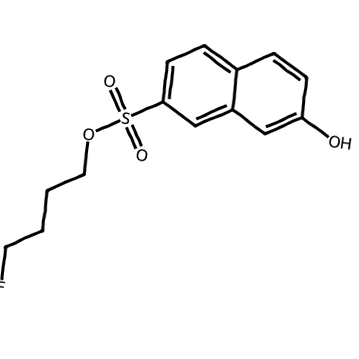 O=S(=O)(OCCCCF)c1ccc2ccc(O)cc2c1